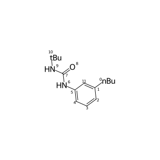 CCCCc1cccc(NC(=O)NC(C)(C)C)c1